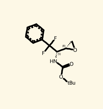 CC(C)(C)OC(=O)N[C@@H]([C@@H]1CO1)C(F)(F)c1ccccc1